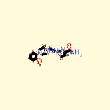 COc1ccccc1N1CCN(CCNc2nccc(C(N)=O)n2)CC1